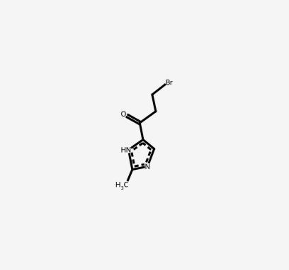 Cc1ncc(C(=O)CCBr)[nH]1